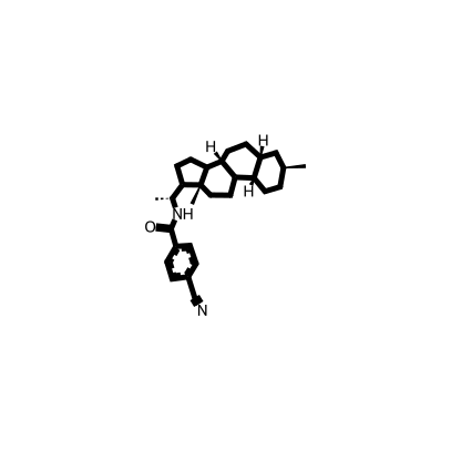 C[C@H]1CC[C@@H]2C3CC[C@@]4(C)C(CCC4[C@@H](C)NC(=O)c4ccc(C#N)cc4)[C@@H]3CC[C@@H]2C1